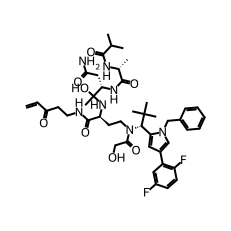 C=CC(=O)CCNC(=O)[C@H](CCN(C(=O)CO)[C@@H](c1cc(-c2cc(F)ccc2F)cn1Cc1ccccc1)C(C)(C)C)NC(C)(O)[C@H](CC(N)=O)NC(=O)[C@@H](C)NC(=O)C(C)C